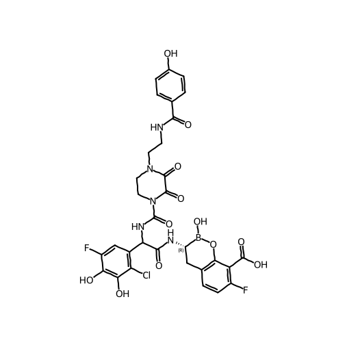 O=C(NCCN1CCN(C(=O)NC(C(=O)N[C@H]2Cc3ccc(F)c(C(=O)O)c3OB2O)c2cc(F)c(O)c(O)c2Cl)C(=O)C1=O)c1ccc(O)cc1